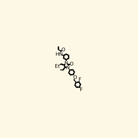 C=CC(=O)Nc1cccc(-n2c(=O)n(-c3ccc(OCc4ccc(F)cc4F)cc3)c(=C/C)/c2=C\CC)c1